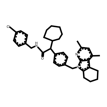 Cc1cc(C)c2c3c(n(Cc4ccc(C(C(=O)NCc5ccc(Cl)cc5)C5CCCCCC5)cc4)c2n1)CCCC3